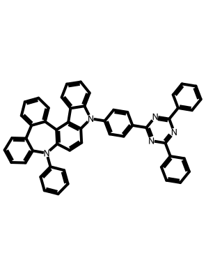 c1ccc(-c2nc(-c3ccccc3)nc(-c3ccc(-n4c5ccccc5c5c6c(ccc54)N(c4ccccc4)c4ccccc4-c4ccccc4-6)cc3)n2)cc1